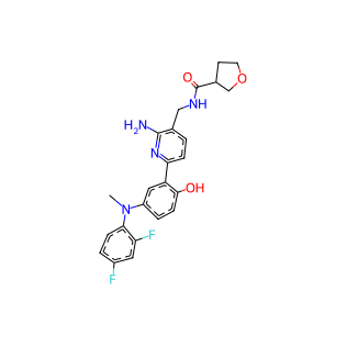 CN(c1ccc(O)c(-c2ccc(CNC(=O)C3CCOC3)c(N)n2)c1)c1ccc(F)cc1F